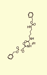 CC(C)[C@H](NC(=O)[C@H]1O[C@@H]1C(=O)OCc1ccccc1)C(=O)NCCCCNC(=O)OCc1ccccc1